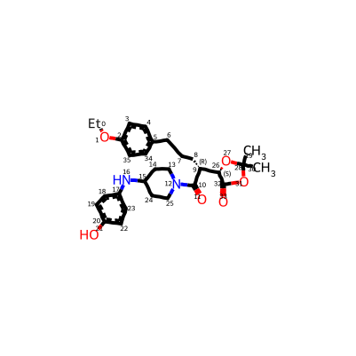 CCOc1ccc(CCC[C@@H](C(=O)N2CCC(Nc3ccc(O)cc3)CC2)[C@@H]2OC(C)(C)OC2=O)cc1